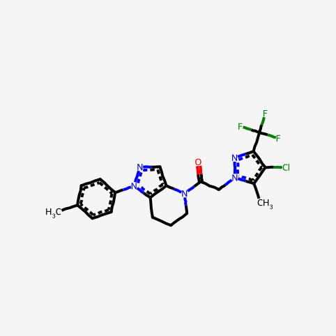 Cc1ccc(-n2ncc3c2CCCN3C(=O)Cn2nc(C(F)(F)F)c(Cl)c2C)cc1